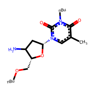 CCCCOC[C@H]1O[C@@H](n2cc(C)c(=O)n(CCCC)c2=O)CC1N